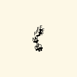 CC1(C)OB(c2cnn(C(F)CC(F)(F)C(F)(F)F)c2)OC1(C)C